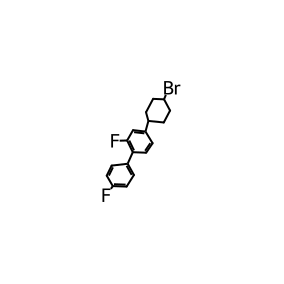 Fc1ccc(-c2ccc(C3CCC(Br)CC3)cc2F)cc1